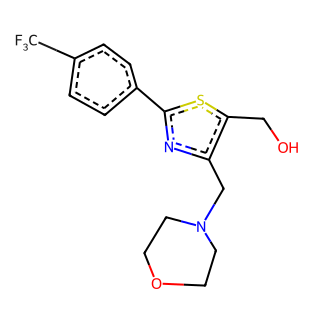 OCc1sc(-c2ccc(C(F)(F)F)cc2)nc1CN1CCOCC1